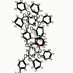 COc1ccc(OP2(Oc3ccccc3)=NP(Oc3ccccc3)(Oc3ccc(OP4(Oc5ccccc5)=NP(Oc5ccccc5)(Oc5ccccc5)=NP(Oc5ccccc5)(Oc5ccccc5)=N4)cc3)=NP(Oc3ccccc3)(Oc3ccccc3)=N2)cc1